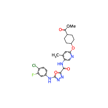 COC(=O)C1CCC(Oc2cc(C)c(NC(=O)c3nnc(Nc4ccc(Cl)c(F)c4)o3)cn2)CC1